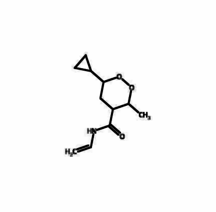 C=CNC(=O)C1CC(C2CC2)OOC1C